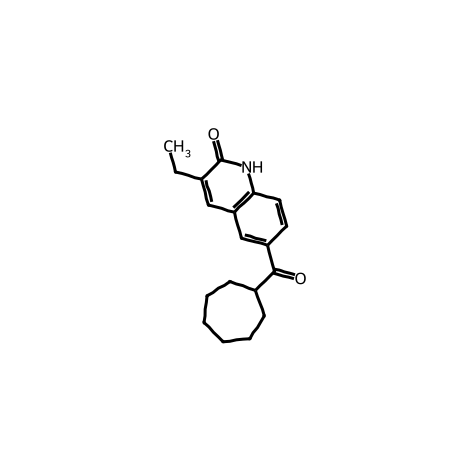 CCc1cc2cc(C(=O)C3CCCCCC3)ccc2[nH]c1=O